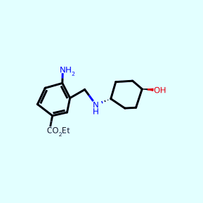 CCOC(=O)c1ccc(N)c(CN[C@H]2CC[C@H](O)CC2)c1